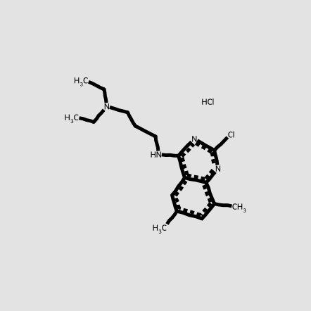 CCN(CC)CCCNc1nc(Cl)nc2c(C)cc(C)cc12.Cl